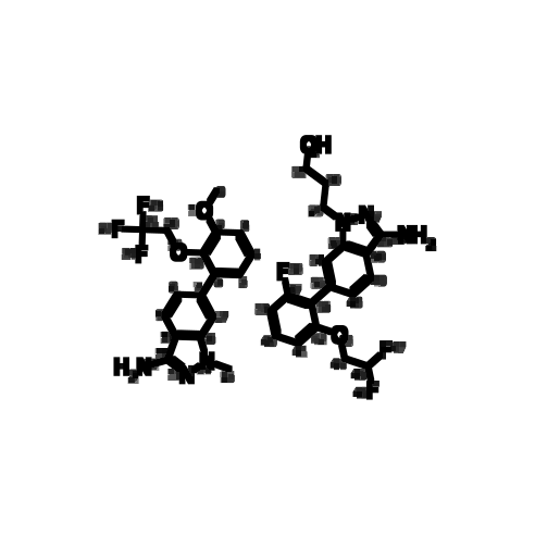 COc1cccc(-c2ccc3c(N)nn(C)c3c2)c1OCC(F)(F)F.Nc1nn(CCCO)c2cc(-c3c(F)cccc3OCC(F)F)ccc12